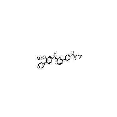 COc1cc(Nc2nccc(-c3ccc(NC(=O)CN(C)C)cc3)n2)ccc1N1CCOCC1